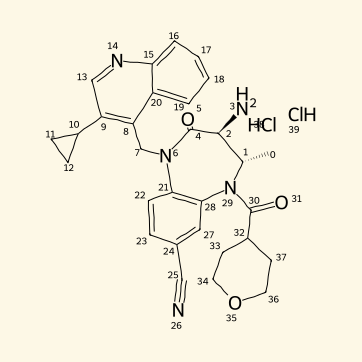 C[C@H]1[C@H](N)C(=O)N(Cc2c(C3CC3)cnc3ccccc23)c2ccc(C#N)cc2N1C(=O)C1CCOCC1.Cl.Cl